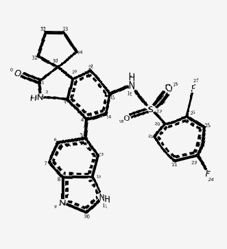 O=C1Nc2c(-c3ccc4nc[nH]c4c3)cc(NS(=O)(=O)c3ccc(F)cc3F)cc2C12CCCC2